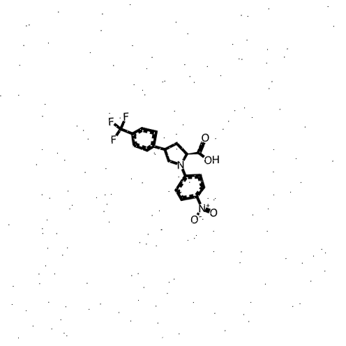 O=C(O)[C@@H]1CC(c2ccc(C(F)(F)F)cc2)CN1c1ccc([N+](=O)[O-])cc1